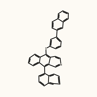 c1cc(Sc2c3ccccc3c(-c3cccc4ccccc34)c3cnccc23)cc(-c2ccc3ccccc3c2)c1